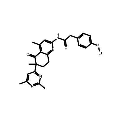 CCSc1ccc(CC(=O)Nc2cc(C)c3c(n2)CCC(C)(c2cc(C)nc(C)n2)C3=O)cc1